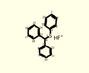 F.c1ccc(SC(c2ccccc2)c2ccccc2)cc1